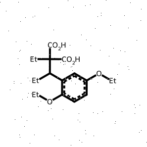 CCOc1ccc(OCC)c(C(CC)C(CC)(C(=O)O)C(=O)O)c1